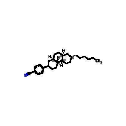 CCCCCC[C@@H]1CC[C@H]2[C@@H](CC[C@@H]3CC(c4ccc(C#N)cc4)CC[C@H]32)C1